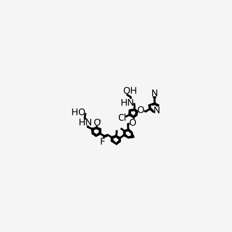 COc1cc(/C(F)=C/c2cccc(-c3cccc(COc4cc(OCc5cncc(C#N)c5)c(CNCCO)cc4Cl)c3C)c2C)ccc1CNCCO